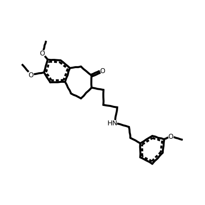 COc1cccc(CCNCCCC2CCc3cc(OC)c(OC)cc3CC2=O)c1